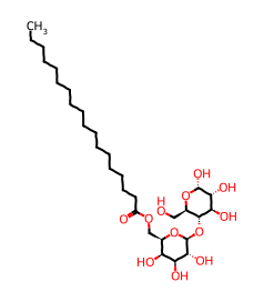 CCCCCCCCCCCCCCCCCC(=O)OC[C@H]1O[C@@H](O[C@H]2[C@H](O)[C@@H](O)[C@@H](O)O[C@@H]2CO)[C@H](O)[C@@H](O)[C@H]1O